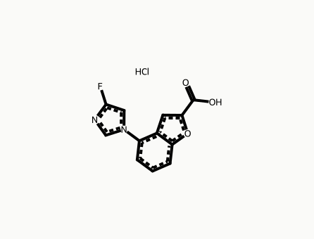 Cl.O=C(O)c1cc2c(-n3cnc(F)c3)cccc2o1